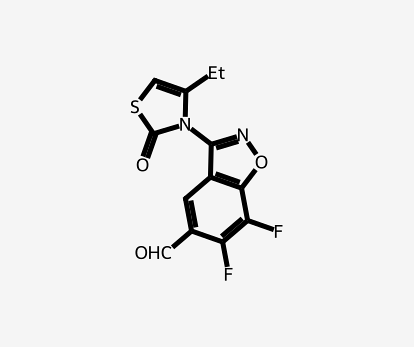 CCc1csc(=O)n1-c1noc2c(F)c(F)c(C=O)cc12